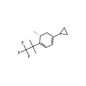 C[C@@H]1CC(C2CC2)=CC=C1C(C)(C)C(F)(F)F